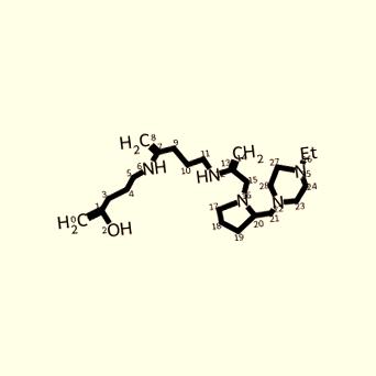 C=C(O)CCCNC(=C)CCCNC(=C)CN1CCCC1CN1CCN(CC)CC1